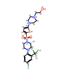 C[C@@H]1CN(c2ccc(F)cc2C(F)(F)F)CCN1S(=O)(=O)c1ccc(N2CCN(CCO)CC2)s1